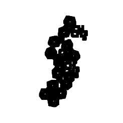 CC1(C)c2ccccc2-c2ccc(N(c3cccc(-c4cccc(-c5ccc6c(c5)-c5ccc(N(c7ccc8c(c7)C(c7ccccc7)(c7ccccc7)c7ccccc7-8)c7cccc8ccccc78)cc5C6(C)C)c4)c3)c3ccc4c(c3)C(C)(C)c3ccccc3-4)cc21